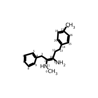 CN/C(Cc1ccccc1)=C(\N)CCc1ccc(C)cc1